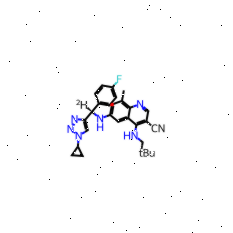 [2H][C@](Nc1cc(C)c2ncc(C#N)c(NCC(C)(C)C)c2c1)(c1ccc(F)cc1)c1cn(C2CC2)nn1